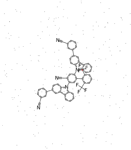 N#Cc1cccc(-c2ccc3c(c2)c2ccccc2n3-c2cc(-c3c(C(F)(F)F)cccc3C(F)(F)F)c(-n3c4ccccc4c4cc(-c5cccc(C#N)c5)ccc43)cc2C#N)c1